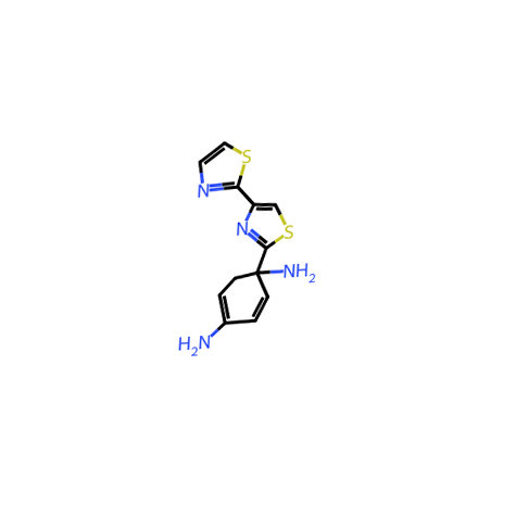 NC1=CCC(N)(c2nc(-c3nccs3)cs2)C=C1